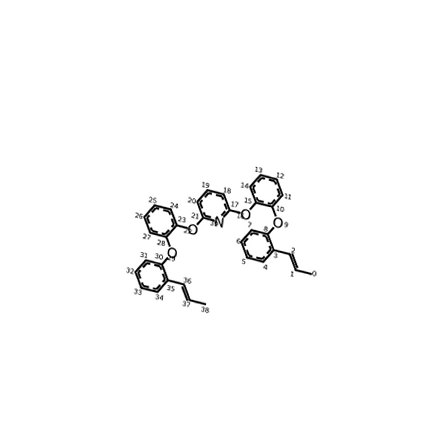 CC=Cc1ccccc1Oc1ccccc1Oc1cccc(Oc2ccccc2Oc2ccccc2C=CC)n1